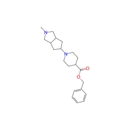 CN1CC2CC(N3CCC(C(=O)OCc4ccccc4)CC3)CC2C1